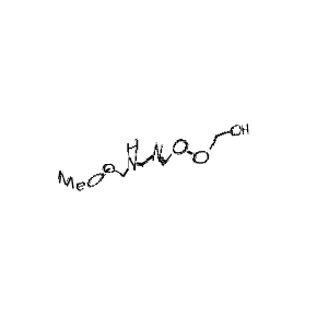 COOCNC/N=C/OOCO